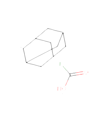 C1C2CC3CC1CC(C2)C3.O=C(O)F